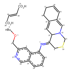 CCCCOCc1cc2c(N=C3CSCN4C=C5C=CCCC5=CC34)cccc2cn1.O=C(O)/C=C/C(=O)O